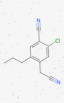 CCCc1cc(C#N)c(Cl)cc1CC#N